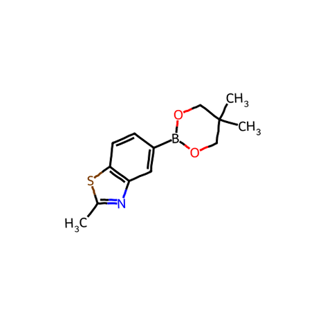 Cc1nc2cc(B3OCC(C)(C)CO3)ccc2s1